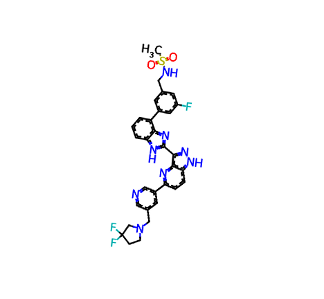 CS(=O)(=O)NCc1cc(F)cc(-c2cccc3[nH]c(-c4n[nH]c5ccc(-c6cncc(CN7CCC(F)(F)C7)c6)nc45)nc23)c1